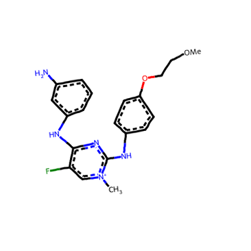 COCCOc1ccc(Nc2nc(Nc3cccc(N)c3)c(F)c[n+]2C)cc1